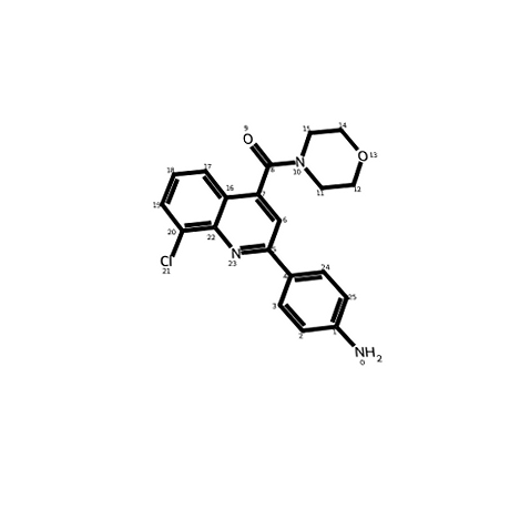 Nc1ccc(-c2cc(C(=O)N3CCOCC3)c3cccc(Cl)c3n2)cc1